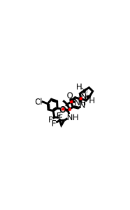 CC(C)(Oc1ccc(Cl)cc1C(F)F)C(=O)N[C@H]1C[C@H]2CC[C@@H](C1)N2c1ccc(C(=O)NC2CC2(F)F)cn1